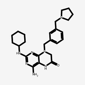 Nc1nc(NC2CCCCC2)nc2c1NC(=O)CN2Cc1cccc(CN2CCCC2)c1